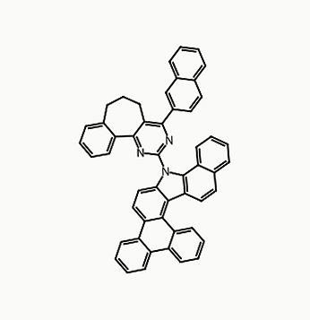 c1ccc2c(c1)CCCc1c(-c3ccc4ccccc4c3)nc(-n3c4ccc5c6ccccc6c6ccccc6c5c4c4ccc5ccccc5c43)nc1-2